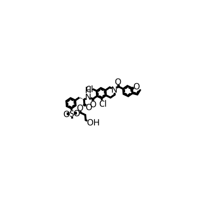 CS(=O)(=O)c1cccc(C[C@H](NC(=O)c2c(Cl)cc3c(c2Cl)CCN(C(=O)c2ccc4ccoc4c2)C3)C(=O)OCCCO)c1